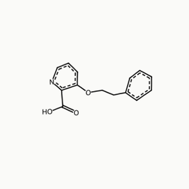 O=C(O)c1ncccc1OCCc1ccccc1